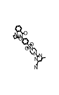 Cc1cc(C#N)nc(N2CCN(S(=O)(=O)c3ccc(NC(=O)c4ccccc4N4CCC4=O)cc3)CC2)n1